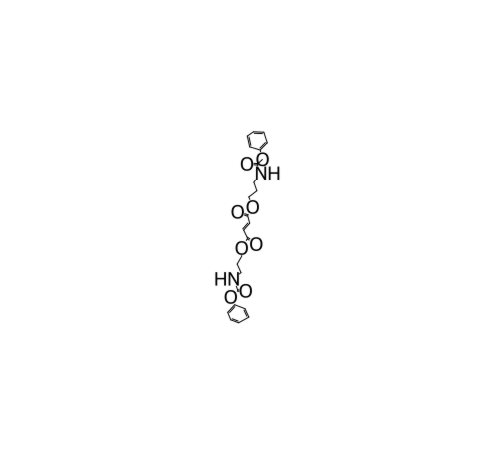 O=C(/C=C/C(=O)OCCCNC(=O)Oc1ccccc1)OCCCNC(=O)Oc1ccccc1